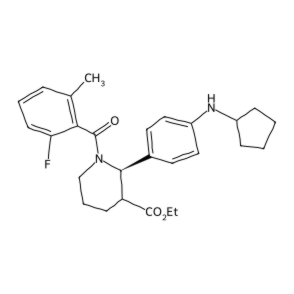 CCOC(=O)C1CCCN(C(=O)c2c(C)cccc2F)[C@H]1c1ccc(NC2CCCC2)cc1